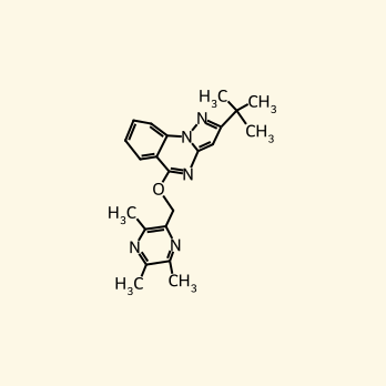 Cc1nc(C)c(COc2nc3cc(C(C)(C)C)nn3c3ccccc23)nc1C